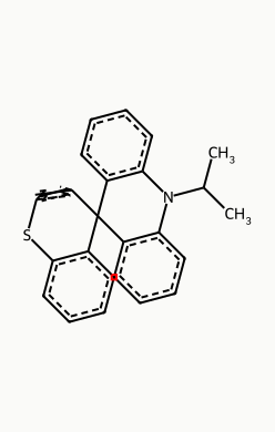 CC(C)N1c2ccccc2C2(c3ccccc3Sc3ccccc32)c2ccccc21